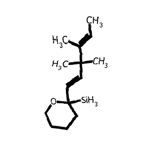 CC=C(C)C(C)(C)C=CC1([SiH3])CCCCO1